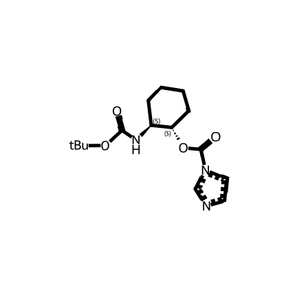 CC(C)(C)OC(=O)N[C@H]1CCCC[C@@H]1OC(=O)n1ccnc1